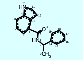 C[C@@H](NC(=O)c1cccc2[nH]ccc12)c1ccccc1